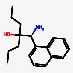 CCCC(O)(CCC)[C@H](N)c1cccc2ccccc12